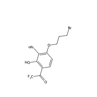 CCCc1c(OCCCBr)ccc(C(=O)C(F)(F)F)c1O